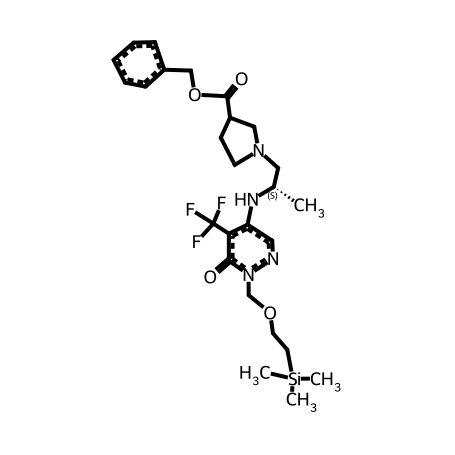 C[C@@H](CN1CCC(C(=O)OCc2ccccc2)C1)Nc1cnn(COCC[Si](C)(C)C)c(=O)c1C(F)(F)F